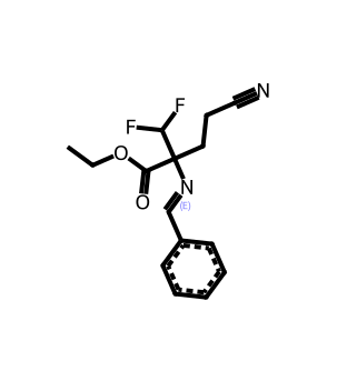 CCOC(=O)C(CCC#N)(/N=C/c1ccccc1)C(F)F